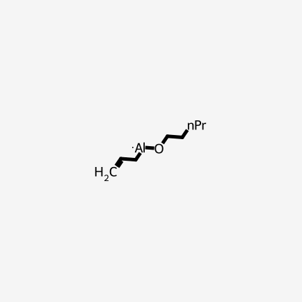 C=C[CH2][Al][O]CCCCC